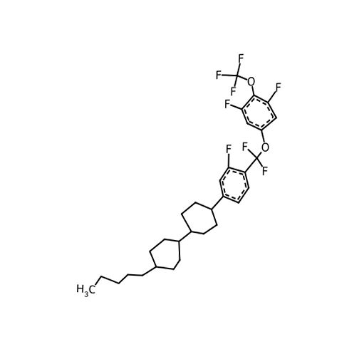 CCCCCC1CCC(C2CCC(c3ccc(C(F)(F)Oc4cc(F)c(OC(F)(F)F)c(F)c4)c(F)c3)CC2)CC1